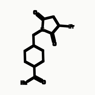 CCC(C)C(=O)C1CCC(CN2C(=O)CC(C(C)C)C2=O)CC1